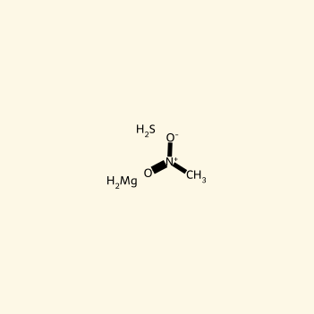 C[N+](=O)[O-].S.[MgH2]